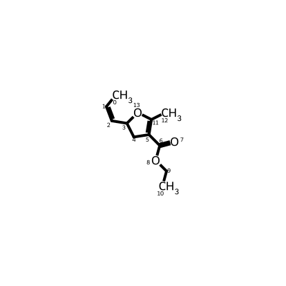 C/C=C\C1CC(C(=O)OCC)=C(C)O1